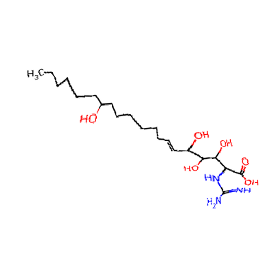 CCCCCCC(O)CCCCCCC=CC(O)C(O)C(O)C(NC(=N)N)C(=O)O